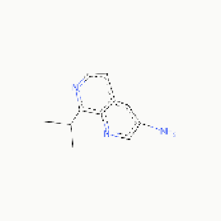 CC(C)c1nccc2cc(N)cnc12